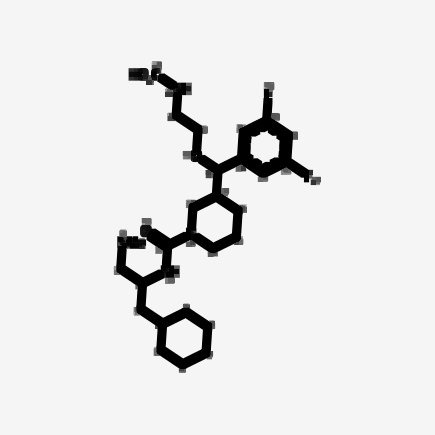 CNCC(CC1CCCCC1)NC(=O)N1CCCC(C(OCCNC(=O)O)c2cc(F)cc(F)c2)C1